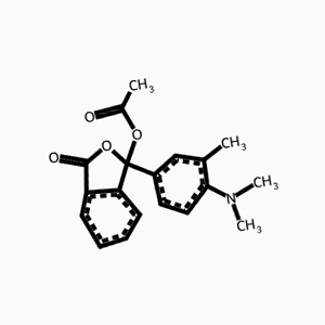 CC(=O)OC1(c2ccc(N(C)C)c(C)c2)OC(=O)c2ccccc21